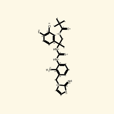 CC(C)(C)C(=O)OCC(C)(NC(=S)Nc1cccc(Cn2ccsc2=N)c1N)c1ccc(F)c(Cl)c1